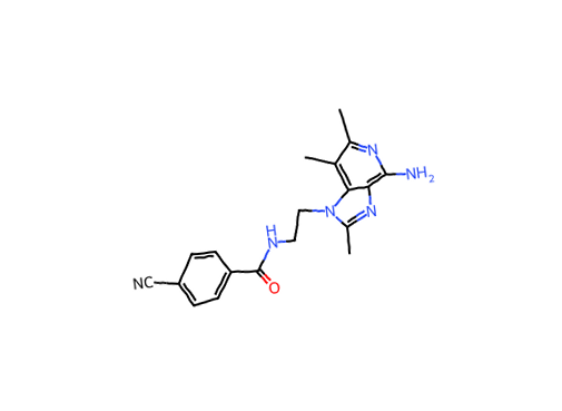 Cc1nc(N)c2nc(C)n(CCNC(=O)c3ccc(C#N)cc3)c2c1C